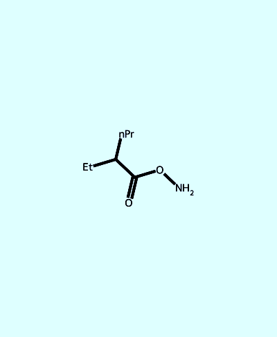 CCCC(CC)C(=O)ON